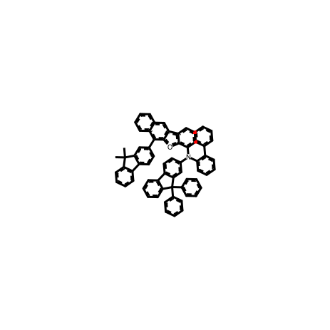 CC1(C)c2ccccc2-c2ccc(-c3c4ccccc4cc4c3oc3c(N(c5ccc6c(c5)C(c5ccccc5)(c5ccccc5)c5ccccc5-6)c5ccccc5-c5ccccc5)cccc34)cc21